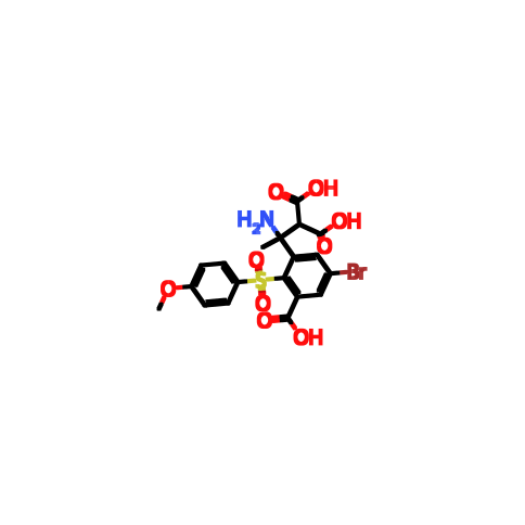 COc1ccc(S(=O)(=O)c2c(C(=O)O)cc(Br)cc2C(C)(N)C(C(=O)O)C(=O)O)cc1